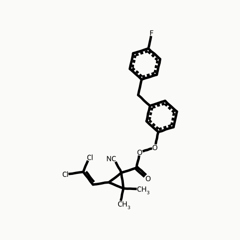 CC1(C)C(C=C(Cl)Cl)C1(C#N)C(=O)OOc1cccc(Cc2ccc(F)cc2)c1